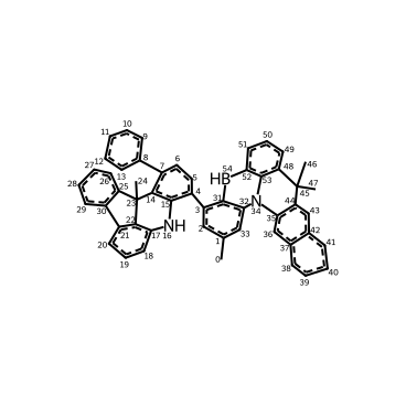 Cc1cc(-c2ccc(-c3ccccc3)c3c2Nc2cccc4c2C3(C)c2ccccc2-4)c2c(c1)N1c3cc4ccccc4cc3C(C)(C)c3cccc(c31)B2